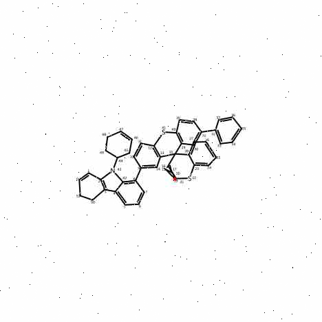 C1=Cc2c(c3cccc(-c4ccc5c(c4)C4(C6=CCCCC6Sc6ccccc64)c4cc(-c6ccccc6)ccc4S5)c3n2C2CC=CCC2)CC1